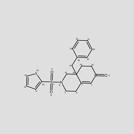 O=C1C=C2CCN(S(=O)(=O)c3cccs3)CC2(Cc2ccccc2)CC1